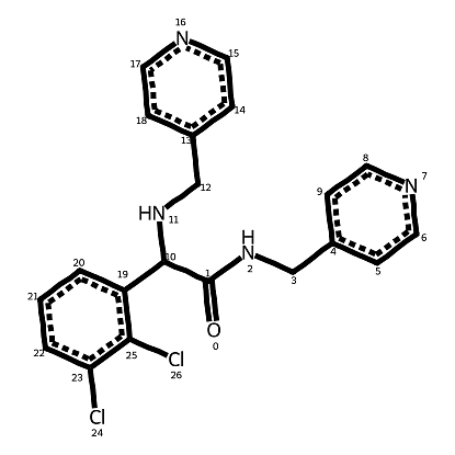 O=C(NCc1ccncc1)C(NCc1ccncc1)c1cccc(Cl)c1Cl